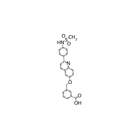 CS(=O)(=O)Nc1ccc(-c2ccc3cc(OCc4cccc(C(=O)O)c4)ccc3n2)cc1